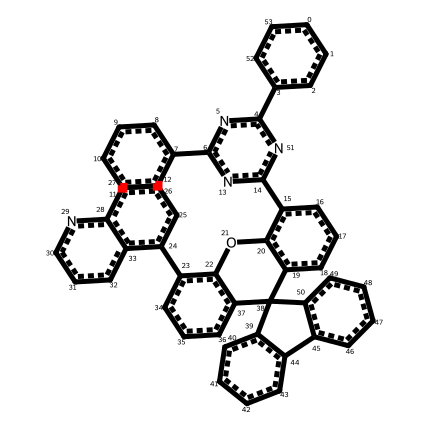 c1ccc(-c2nc(-c3ccccc3)nc(-c3cccc4c3Oc3c(-c5cccc6ncccc56)cccc3C43c4ccccc4-c4ccccc43)n2)cc1